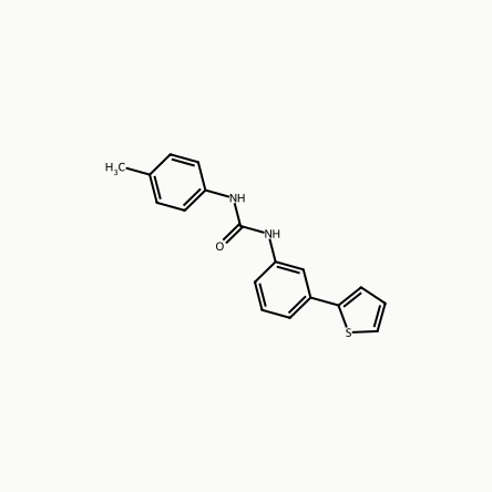 Cc1ccc(NC(=O)Nc2cccc(-c3cccs3)c2)cc1